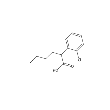 CCCCC(C(=O)O)c1ccccc1Cl